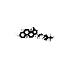 CC1C[C@H](C(=O)Cn2cc(C(F)(F)F)cn2)[C@@]2(C)CCC3[C@@H](CC[C@@H]4C[C@@H](C)CC[C@H]34)C12